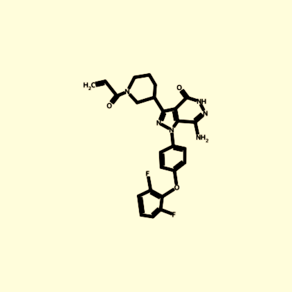 C=CC(=O)N1CCCC(c2nn(-c3ccc(Oc4c(F)cccc4F)cc3)c3c(N)n[nH]c(=O)c23)C1